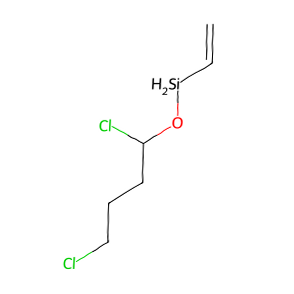 C=C[SiH2]OC(Cl)CCCCl